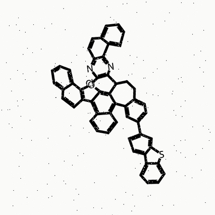 Clc1nc2ccc3ccccc3c2nc1C1CCc2ccc(-c3ccc4c(c3)sc3ccccc34)cc2-c2c1c1oc3c4ccccc4ccc3c1c1ccccc21